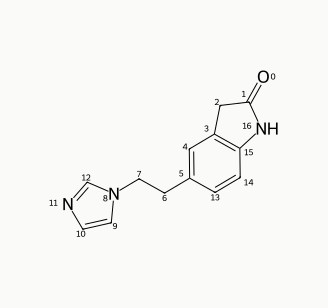 O=C1Cc2cc(CCn3ccnc3)ccc2N1